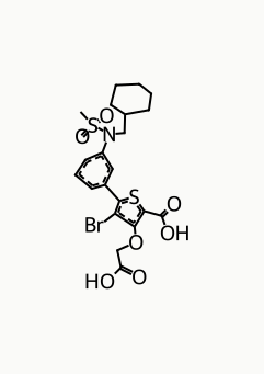 CS(=O)(=O)N(CC1CCCCC1)c1cccc(-c2sc(C(=O)O)c(OCC(=O)O)c2Br)c1